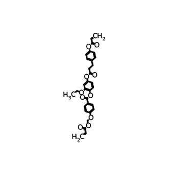 C=CC(=O)OCOc1ccc(C(=O)Oc2ccc(OC(=O)CCc3ccc(OC(=O)C=C)cc3)cc2OCC)cc1